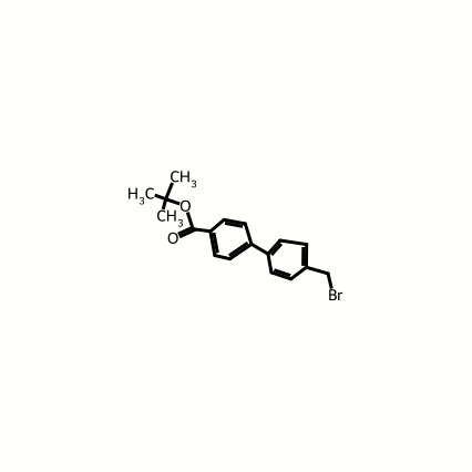 CC(C)(C)OC(=O)c1ccc(-c2ccc(CBr)cc2)cc1